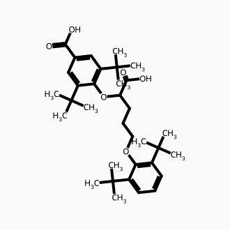 CC(C)(C)c1cccc(C(C)(C)C)c1OCCCC(Oc1c(C(C)(C)C)cc(C(=O)O)cc1C(C)(C)C)C(=O)O